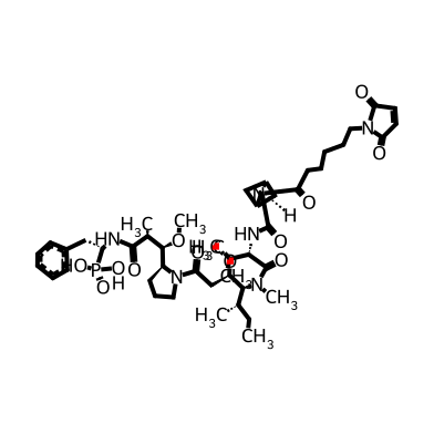 CC[C@H](C)[C@@H]([C@@H](CC(=O)N1CCC[C@H]1[C@H](OC)[C@@H](C)C(=O)N[C@@H](Cc1ccccc1)P(=O)(O)O)OC)N(C)C(=O)[C@@H](NC(=O)[C@@H]1C2CC(C2)N1C(=O)CCCCCN1C(=O)C=CC1=O)C(C)C